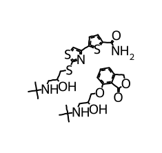 CC(C)(C)NCC(O)COc1cccc2c1C(=O)OC2.CC(C)(C)NCC(O)CSc1nc(-c2ccc(C(N)=O)s2)cs1